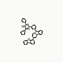 C1=CC2C(C=C1c1cccc3c1sc1ccccc13)c1ccccc1N2c1cccc(C2=NC(c3ccccc3)NC(c3ccccc3)=N2)c1